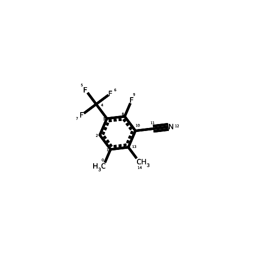 Cc1cc(C(F)(F)F)c(F)c(C#N)c1C